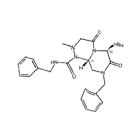 CCCC[C@H]1C(=O)N(Cc2ccccc2)C[C@H]2N1C(=O)CN(C)N2C(=O)NCc1ccccc1